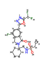 O=C1c2cc(-c3nnc(C(F)F)o3)cc(F)c2CN1C1(CNS(=O)(=O)CC(F)(F)F)CCCCC1